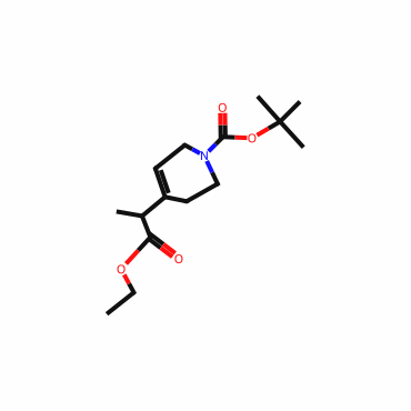 CCOC(=O)C(C)C1=CCN(C(=O)OC(C)(C)C)CC1